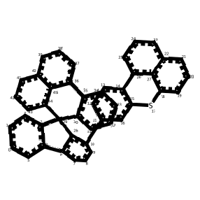 c1ccc2c(c1)-c1cccc(-c3ccc4c(c3)Sc3cccc5cccc-4c35)c1C21c2ccccc2-c2cccc3cccc1c23